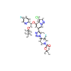 Cc1c(-c2cc(OC(CO[Si](C)(C)C(C)(C)C)c3ccc(F)cn3)c3c(Cl)cnn3c2)nnn1[C@@H]1CCN(C(=O)OC(C)(C)C)C[C@@H]1F